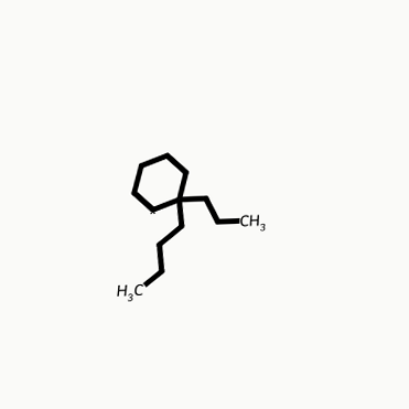 CCCCC1(CCC)[C]CCCC1